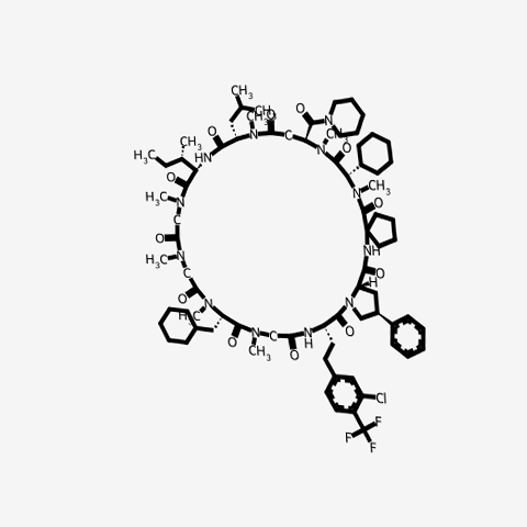 CC[C@H](C)[C@@H]1NC(=O)[C@H](CC(C)C)N(C)C(=O)C[C@@H](C(=O)N2CCCCC2)N(C)C(=O)[C@H](C2CCCCC2)N(C)C(=O)C2(CCCC2)NC(=O)[C@@H]2C[C@@H](c3ccccc3)CN2C(=O)[C@H](CCc2ccc(C(F)(F)F)c(Cl)c2)NC(=O)CN(C)C(=O)[C@H](CC2CCCCC2)N(C)C(=O)CN(C)C(=O)CN(C)C1=O